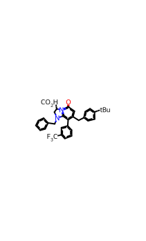 CC(C)(C)c1ccc(Cc2cc(=O)n3c(c2-c2cccc(C(F)(F)F)c2)N(Cc2ccccc2)CC3C(=O)O)cc1